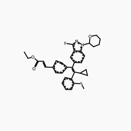 CCOC(=O)C=Cc1ccc(C(=C(c2ccccc2SC)C2CC2)c2ccc3c(c2)c(F)nn3C2CCCCO2)cc1